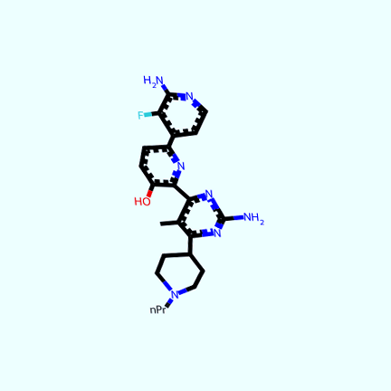 CCCN1CCC(c2nc(N)nc(-c3nc(-c4ccnc(N)c4F)ccc3O)c2C)CC1